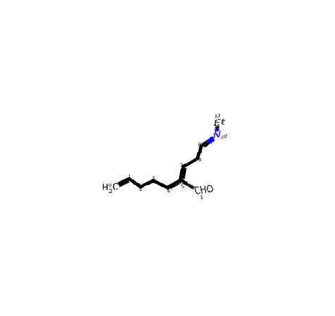 C=CCCC/C(C=O)=C/C/C=N/CC